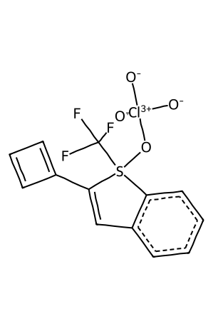 [O-][Cl+3]([O-])([O-])OS1(C(F)(F)F)C(C2=CC=C2)=Cc2ccccc21